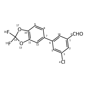 O=Cc1cc(Cl)cc(-c2ccc3c(c2)OC(F)(F)O3)c1